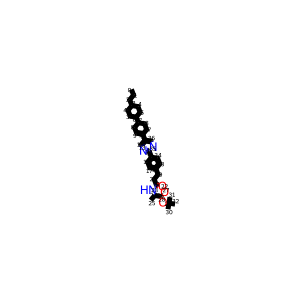 CCCC1CCC(C2CC=C(c3cnc(-c4ccc(CCC(=O)NC(C)C(=O)OC(C)(C)C)cc4)nc3)CC2)CC1